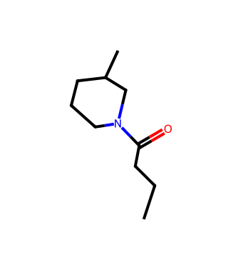 CCCC(=O)N1CCCC(C)C1